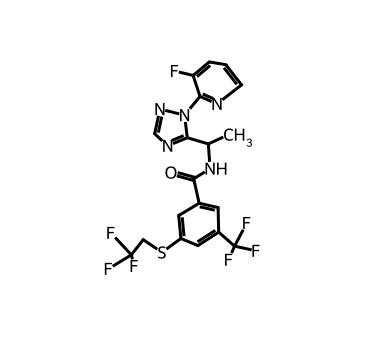 CC(NC(=O)c1cc(SCC(F)(F)F)cc(C(F)(F)F)c1)c1ncnn1-c1ncccc1F